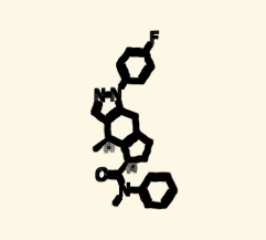 C[C@@H]1C2=C(CC[C@H]2C(=O)N(C)c2ccccc2)Cc2c1cnn2-c1ccc(F)cc1